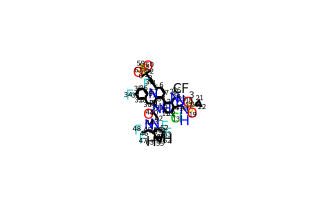 CC(C)(C#Cc1ccc(-c2ccc(Cl)c3c(NS(=O)(=O)C4CC4)nn(CC(F)(F)F)c23)c([C@H](Cc2cc(F)cc(F)c2)NC(=O)Cn2nc(C(F)F)c3c2C(F)(F)[C@@H]2C[C@H]32)n1)S(C)(=O)=O